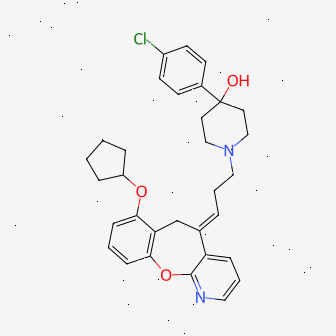 OC1(c2ccc(Cl)cc2)CCN(CCC=C2Cc3c(cccc3OC3CCCC3)Oc3ncccc32)CC1